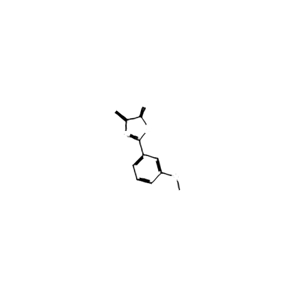 C=C1N=C(c2cccc(OC)c2)OC1=O